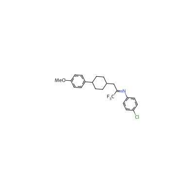 COc1ccc(C2CCC(C/C(=N/c3ccc(Cl)cc3)C(F)(F)F)CC2)cc1